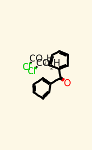 O=C(O)Cl.O=C(O)Cl.O=C(c1ccccc1)c1ccccc1